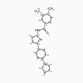 Cc1ccc(C(=O)Nc2nc(-c3ccc(-n4ccnc4)cc3)cs2)cc1C